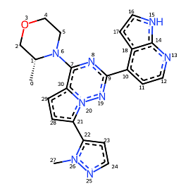 C[C@@H]1COCCN1c1nc(-c2ccnc3[nH]ccc23)nn2c(-c3ccnn3C)ccc12